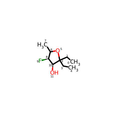 CCC1(CC)OC(C)[C@H](F)[C@@H]1O